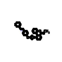 COC(=O)c1cccc(N2CC(Oc3ccc(/C=C/c4cccnc4)cc3)C2)c1-c1ccccc1